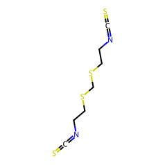 S=C=NCCSCSCCN=C=S